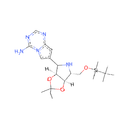 CC1(C)O[C@@H]2[C@@H](CO[Si](C)(C)C(C)(C)C)NC(c3cc4ncnc(N)n4c3)[C@@H]2O1